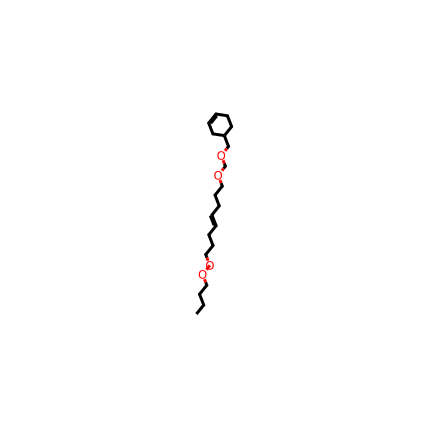 CCCCOOCCCC=CCCCOCOCC1CC=CCC1